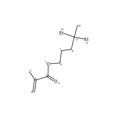 C=C(C)C(=O)OCCCC(C)(CC)CC